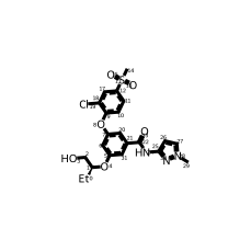 CC[C@@H](CO)Oc1cc(Oc2ccc(S(C)(=O)=O)cc2Cl)cc(C(=O)Nc2ccn(C)n2)c1